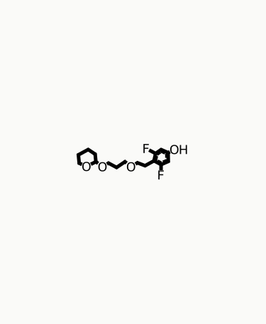 Oc1cc(F)c(CCOCCCOC2CCCCO2)c(F)c1